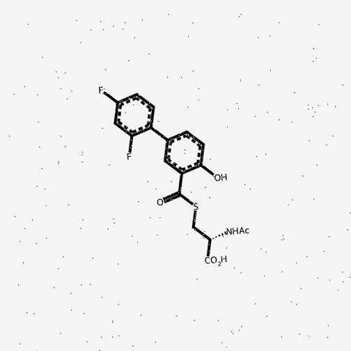 CC(=O)N[C@@H](CSC(=O)c1cc(-c2ccc(F)cc2F)ccc1O)C(=O)O